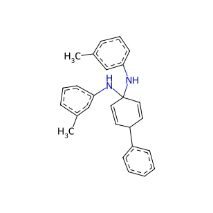 Cc1cccc(NC2(Nc3cccc(C)c3)C=CC(c3ccccc3)C=C2)c1